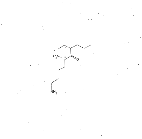 CCCC(CC)C(=O)[C@@H](N)CCCCN